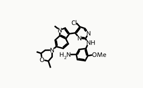 COc1ccc(N)cc1Nc1ncc(Cl)c(-c2cn(C)c3cc(N4CC(C)OC(C)C4)ccc23)n1